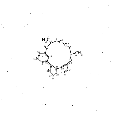 C[C@@H]1COCC[C@H](C)Oc2cncc(c2)-c2n[nH]c3ccc(cc23)O1